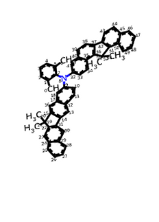 Cc1cccc(C)c1N(c1ccc2cc3c(cc2c1)C(C)(C)c1cc2ccccc2cc1-3)c1ccc2c3c(ccc2c1)-c1ccc2ccccc2c1C3(C)C